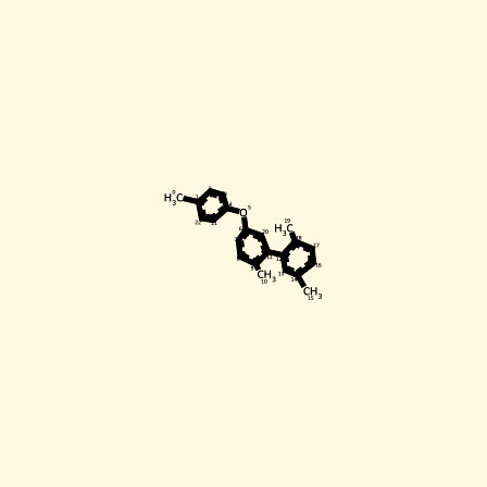 Cc1ccc(Oc2ccc(C)c(-c3cc(C)ccc3C)c2)cc1